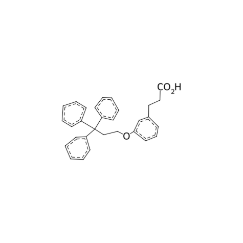 O=C(O)CCc1cccc(OCCC(c2ccccc2)(c2ccccc2)c2ccccc2)c1